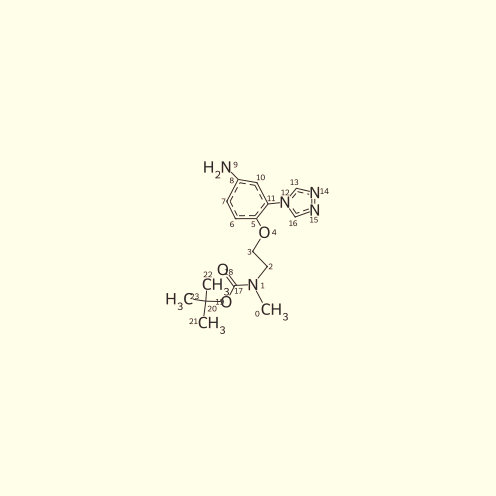 CN(CCOc1ccc(N)cc1-n1cnnc1)C(=O)OC(C)(C)C